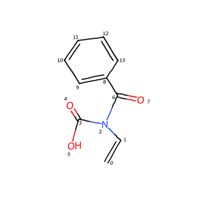 C=CN(C(=O)O)C(=O)c1ccccc1